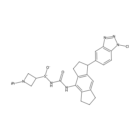 CC(C)N1CC([S+]([O-])NC(=O)Nc2c3c(cc4c2CCC4c2ccc4c(c2)nnn4Cl)CCC3)C1